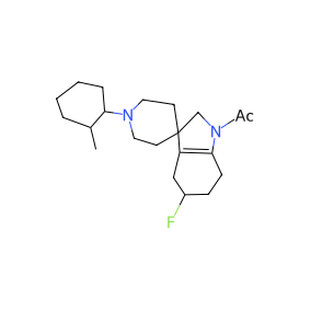 CC(=O)N1CC2(CCN(C3CCCCC3C)CC2)C2=C1CCC(F)C2